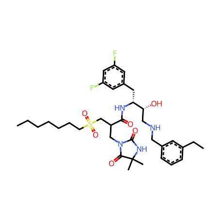 CCCCCCCS(=O)(=O)CC(CN1C(=O)NC(C)(C)C1=O)C(=O)N[C@H](Cc1cc(F)cc(F)c1)[C@H](O)CNCc1cccc(CC)c1